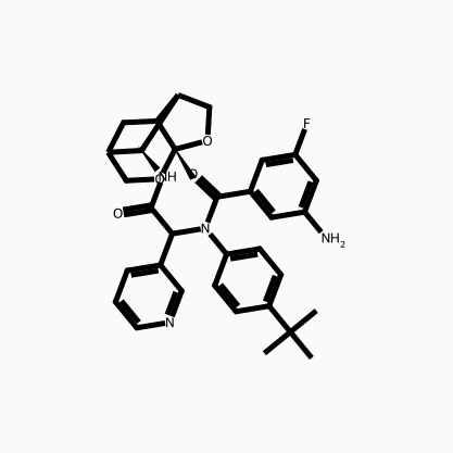 CC(C)(C)c1ccc(N(C(=O)c2cc(N)cc(F)c2)C(C(=O)N[C@H]2C3CO[C@@]4(C)OCC2C4C3)c2cccnc2)cc1